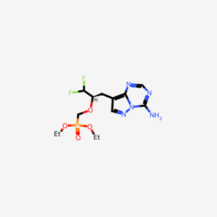 CCOP(=O)(CO[C@H](Cc1cnn2c(N)ncnc12)C(F)F)OCC